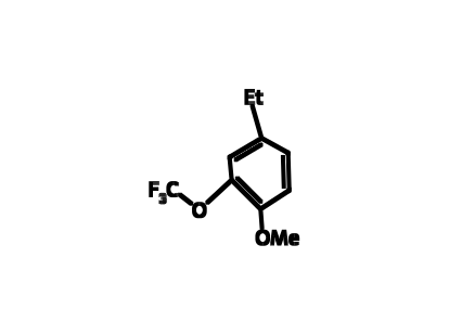 CCc1ccc(OC)c(OC(F)(F)F)c1